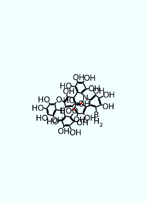 Bc1c(O)c(O)c(O)c2c1c1c(O)c(O)c(O)c(O)c1n2-c1c(O)c(O)c(O)c(O)c1-c1c(O)c2c3c(c1O)Oc1c(O)c(O)c(O)c(O)c1B3c1c(O)c(O)c(O)c(O)c1O2